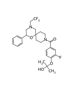 CC(C)(O)Oc1ccc(C(=O)N2CCC3(CC2)CN(CC(F)(F)F)CC(c2ccccc2)O3)cc1F